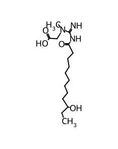 CCC(O)CCCCCCCCC(=O)NC(=N)N(C)CC(=O)O